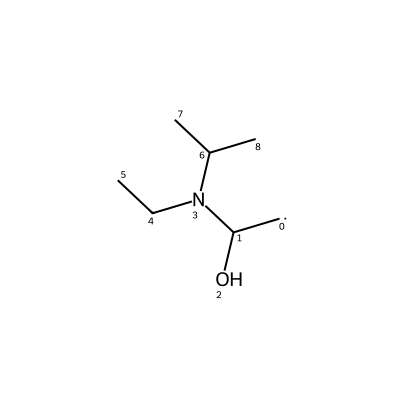 [CH2]C(O)N(CC)C(C)C